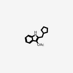 CC(=O)Oc1c(CC2CCCC2)[nH]c2ccccc12